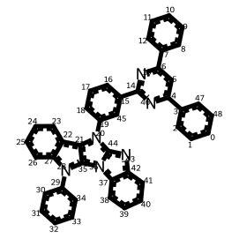 c1ccc(-c2cc(-c3ccccc3)nc(-c3cccc(-n4c5c6ccccc6n(-c6ccccc6)c5n5c6ccccc6nc45)c3)n2)cc1